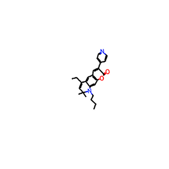 CCCCN1c2cc3oc(=O)c(-c4ccncc4)cc3cc2C(CC)=CC1(C)C